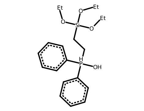 CCO[Si](CC[PH](O)(c1ccccc1)c1ccccc1)(OCC)OCC